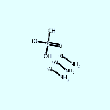 O=P(O)(O)O.[NH2][Al].[NH2][Al].[NH2][Al]